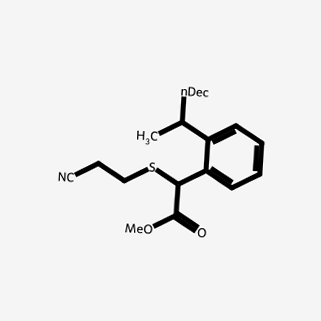 CCCCCCCCCCC(C)c1ccccc1C(SCCC#N)C(=O)OC